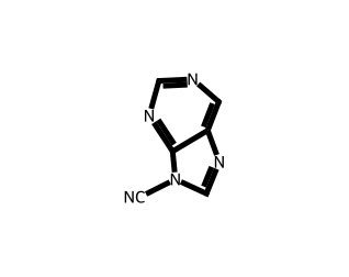 N#Cn1cnc2cncnc21